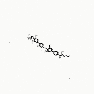 CCCC/C(F)=C(\F)c1ccc(-c2cc(F)c(CCc3ccc(-c4cc(F)c(OC(F)(F)F)c(F)c4)c(F)c3)c(F)c2)cc1